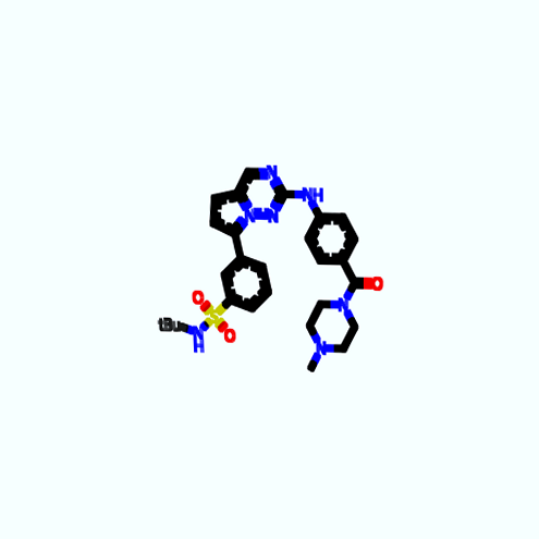 CN1CCN(C(=O)c2ccc(Nc3ncc4ccc(-c5cccc(S(=O)(=O)NC(C)(C)C)c5)n4n3)cc2)CC1